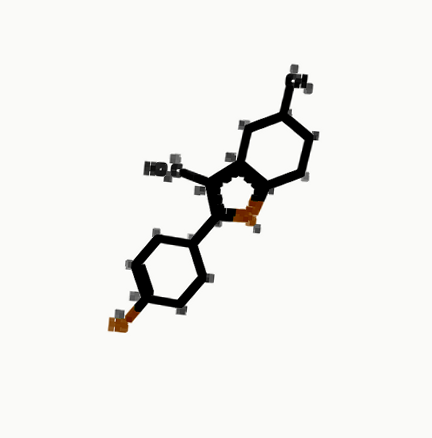 CC1CCc2sc(C3CC=C(S)CC3)c(C(=O)O)c2C1